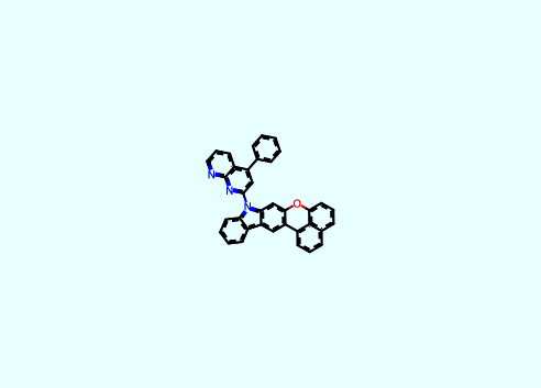 c1ccc(-c2cc(-n3c4ccccc4c4cc5c(cc43)Oc3cccc4cccc-5c34)nc3ncccc23)cc1